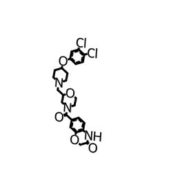 O=C1COc2cc(C(=O)N3CCOC(CN4CCC(Oc5ccc(Cl)c(Cl)c5)CC4)C3)ccc2N1